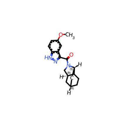 COc1ccc2[nH]nc(C(=O)N3C[C@@H]4C[C@H]5CCC4[C@@H]3C5)c2c1